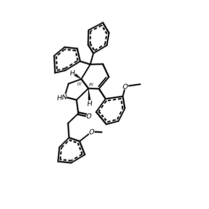 COc1ccccc1CC(=O)C1NC[C@H]2[C@@H]1C(c1ccccc1OC)=CCC2(c1ccccc1)c1ccccc1